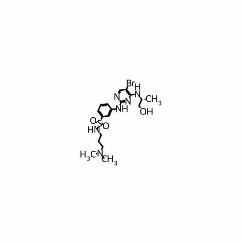 C[C@H](CO)Nc1nc(Nc2cccc(S(=O)(=O)NCCCN(C)C)c2)ncc1Br